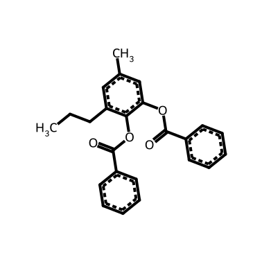 CCCc1cc(C)cc(OC(=O)c2ccccc2)c1OC(=O)c1ccccc1